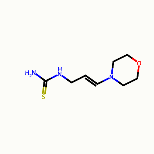 NC(=S)NCC=CN1CCOCC1